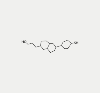 OCCCC1CCC2CC(C3CCC(S)CC3)CCC2C1